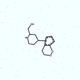 OCC1CN(c2cccc3c2CCOO3)CCN1